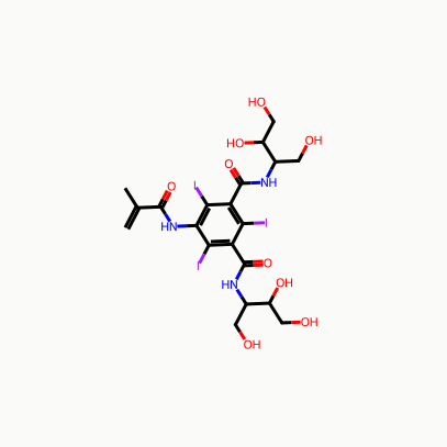 C=C(C)C(=O)Nc1c(I)c(C(=O)NC(CO)C(O)CO)c(I)c(C(=O)NC(CO)C(O)CO)c1I